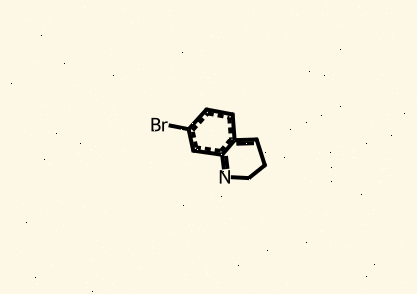 Brc1ccc2c(c1)=NCCC=2